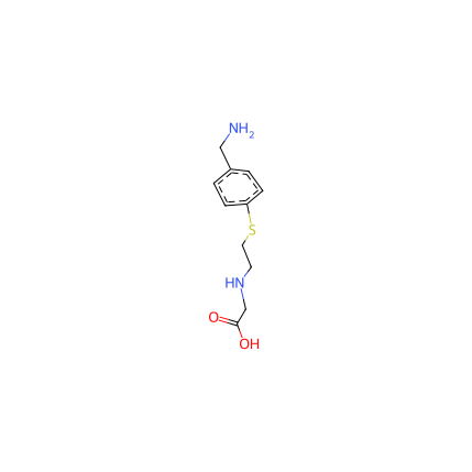 NCc1ccc(SCCNCC(=O)O)cc1